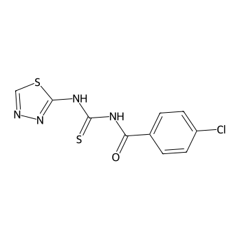 O=C(NC(=S)Nc1nncs1)c1ccc(Cl)cc1